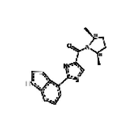 C[C@@H]1CC[C@H](C)N1C(=O)c1csc(-c2ccnc3[nH]ccc23)n1